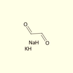 O=CC=O.[KH].[NaH]